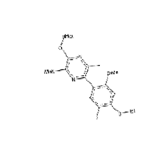 CCCCCCOc1nc(C)c(-c2cc(C)c(OCC)cc2OC)nc1NC